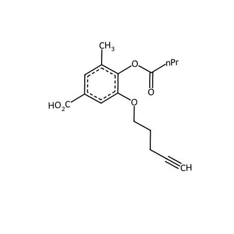 C#CCCCOc1cc(C(=O)O)cc(C)c1OC(=O)CCC